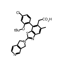 Cc1cc2nc(N3Cc4ccncc4C3)sc2c(-c2ccc(Cl)cc2OC(C)(C)C)c1CC(=O)O